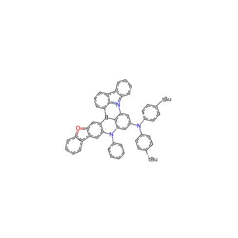 CC(C)(C)c1ccc(N(c2ccc(C(C)(C)C)cc2)c2cc3c4c(c2)-n2c5ccccc5c5cccc(c52)B4c2cc4oc5ccccc5c4cc2N3c2ccccc2)cc1